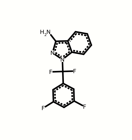 Nc1nn(C(F)(F)c2cc(F)cc(F)c2)c2ccccc12